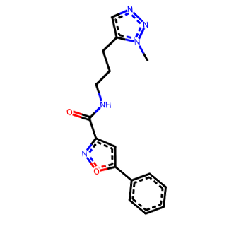 Cn1nncc1CCCNC(=O)c1cc(-c2ccccc2)on1